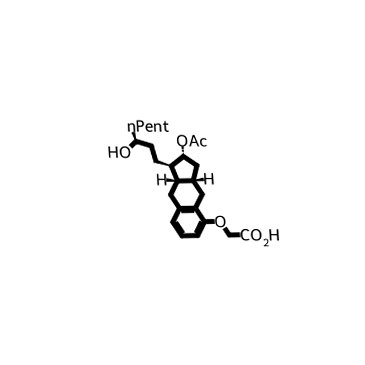 CCCCC[C@H](O)CC[C@@H]1[C@H]2Cc3cccc(OCC(=O)O)c3C[C@H]2C[C@H]1OC(C)=O